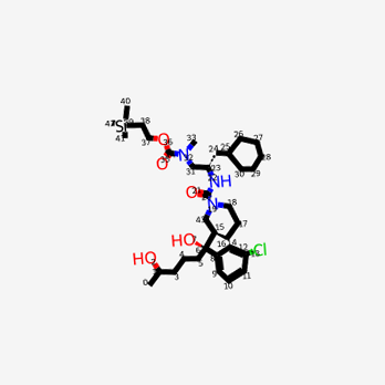 CC(O)CCC[C@@](O)(c1cccc(Cl)c1)[C@@H]1CCCN(C(=O)N[C@@H](CC2CCCCC2)CN(C)C(=O)OCC[Si](C)(C)C)C1